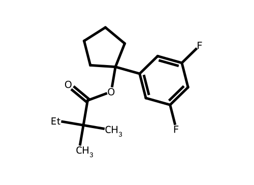 CCC(C)(C)C(=O)OC1(c2cc(F)cc(F)c2)CCCC1